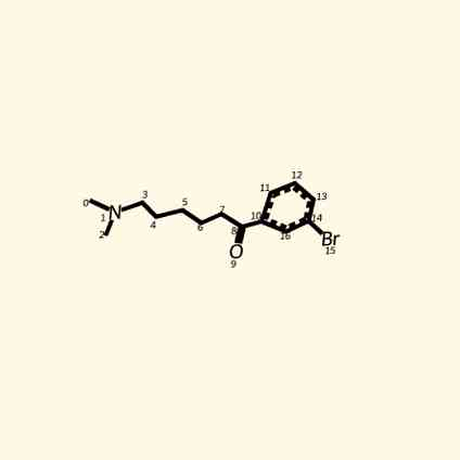 CN(C)CCCCCC(=O)c1cccc(Br)c1